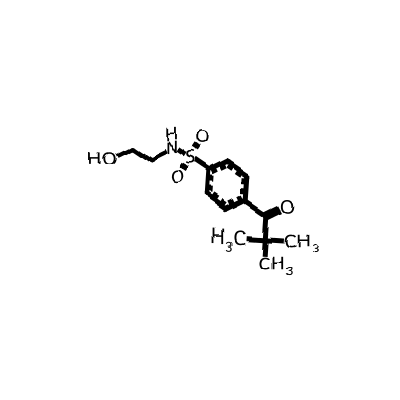 CC(C)(C)C(=O)c1ccc(S(=O)(=O)NCCO)cc1